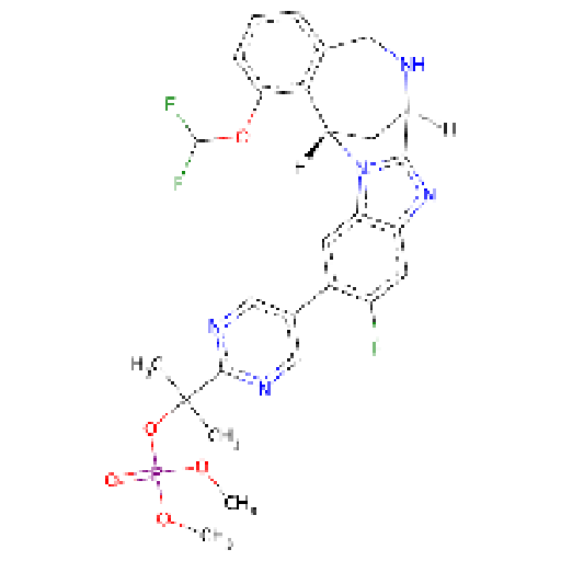 COP(=O)(OC)OC(C)(C)c1ncc(-c2cc3c(cc2F)nc2n3[C@H]3C[C@H]2NCc2cccc(OC(F)F)c23)cn1